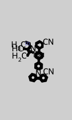 C#Cc1c(C=C)c(C(C)CC)n(C2=C(c3ccc(-c4ccc(-n5c6ccccc6c6cccc(C#N)c65)cc4)cc3)CC(C#N)C=C2)c1/C=C\C